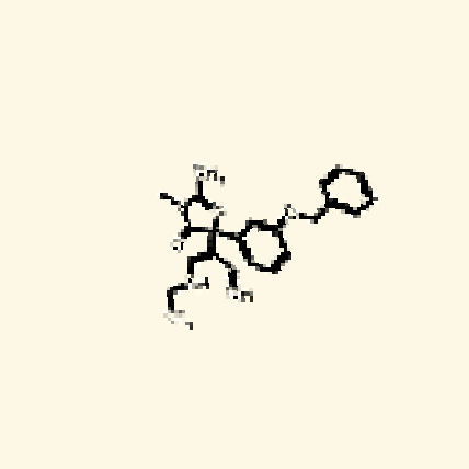 CN1C(=O)C(/C(C=N)=C/NCC(F)(F)F)(c2cccc(OCc3ccccc3)c2)N=C1N